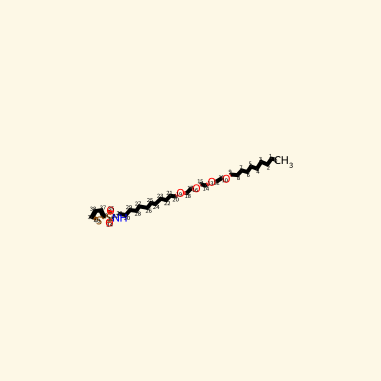 CCCCCCCCCCOCCOCCOCCOCCCCCCCCCCCCNS(=O)(=O)c1cccs1